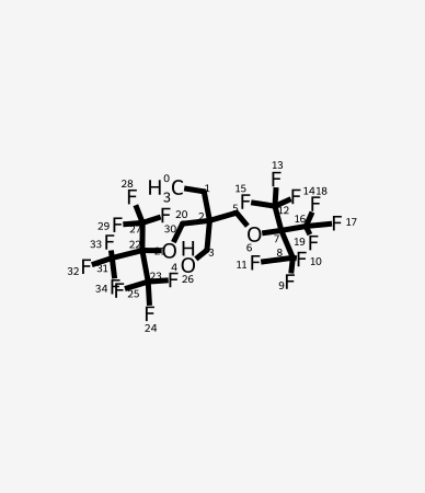 CCC(CO)(COC(C(F)(F)F)(C(F)(F)F)C(F)(F)F)COC(C(F)(F)F)(C(F)(F)F)C(F)(F)F